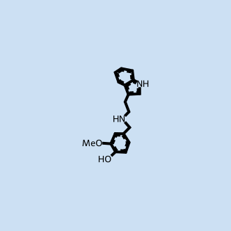 COc1cc(CNCCc2c[nH]c3ccccc23)ccc1O